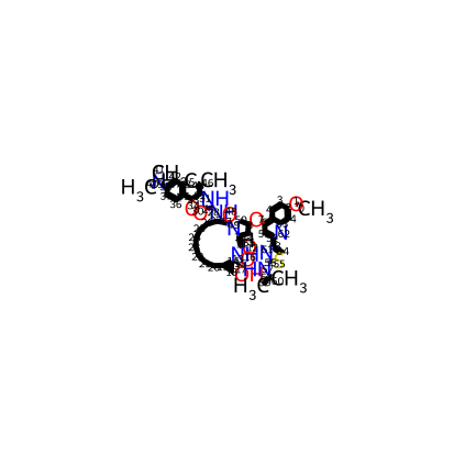 COc1ccc2c(O[C@@H]3C[C@H]4C(=O)N[C@]5(C(=O)O)CC5CCCCCCC[C@H](NC(=O)N[C@H](C(=O)c5ccc(N(C)C)cc5)C(C)C)C(=O)N4C3)cc(-c3csc(NC(C)C)n3)nc2c1